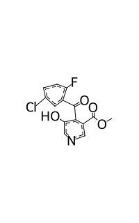 COC(=O)c1cncc(O)c1C(=O)c1cc(Cl)ccc1F